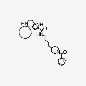 O=C(NCCCCC1CCN(C(=O)c2ccccn2)CC1)c1cc2c([nH]1)CCNC21CCCCCCCCC1